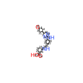 COc1ccc(-c2cnc(Nc3ccc(CCNC4CCCC(C(=O)O)C4)cc3)nc2)cc1